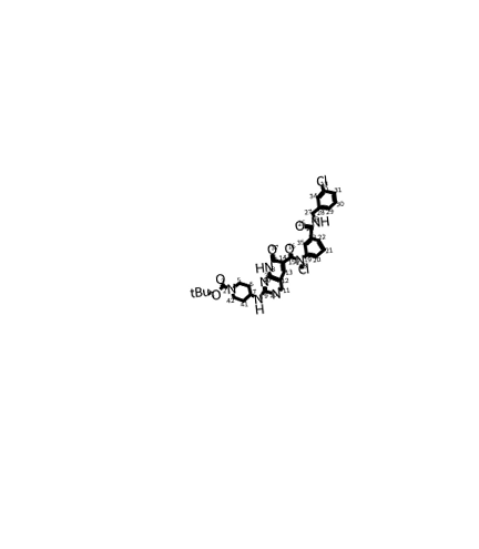 CC(C)(C)OC(=O)N1CCC(Nc2ncc3cc(C(=O)N(Cl)c4cccc(C(=O)NCc5cccc(Cl)c5)c4)c(=O)[nH]c3n2)CC1